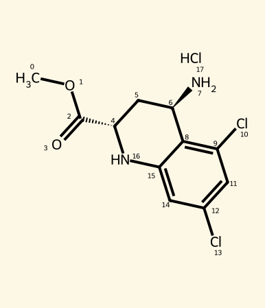 COC(=O)[C@@H]1C[C@@H](N)c2c(Cl)cc(Cl)cc2N1.Cl